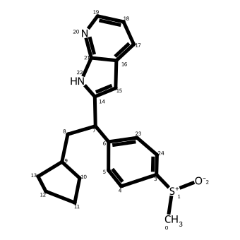 C[S+]([O-])c1ccc(C(CC2CCCC2)c2cc3cccnc3[nH]2)cc1